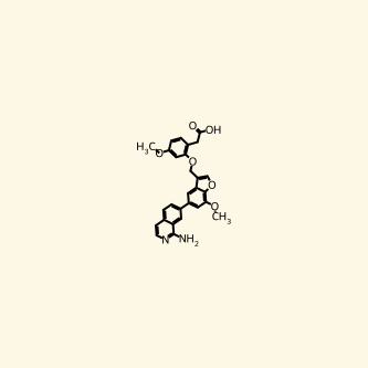 COc1ccc(CC(=O)O)c(OCc2coc3c(OC)cc(-c4ccc5ccnc(N)c5c4)cc23)c1